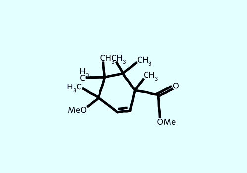 COC(=O)C1(C)C=CC(C)(OC)C(C)(C)C1(C)C